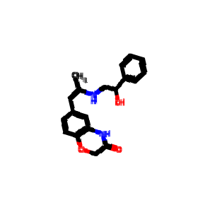 CC(Cc1ccc2c(c1)NC(=O)CO2)NCC(O)c1ccccc1